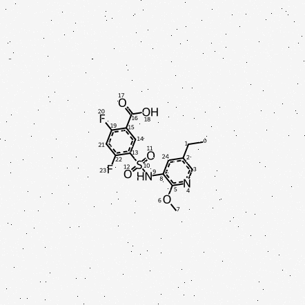 CCc1cnc(OC)c(NS(=O)(=O)c2cc(C(=O)O)c(F)cc2F)c1